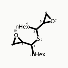 CCCCCCC(SC(CCCCCC)C1CO1)C1CO1